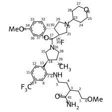 COCCC(CCNc1cc(C(F)(F)F)ccc1[C@H]1CN(C(=O)[C@]2(F)CN(C3CCOCC3)C[C@H]2c2ccc(OC)cc2)C[C@@H]1C)C(N)=O